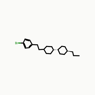 CCC[C@H]1CC[C@H](C2CCC(CCc3ccc(Br)cc3)CC2)CC1